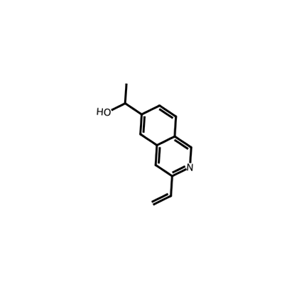 C=Cc1cc2cc(C(C)O)ccc2cn1